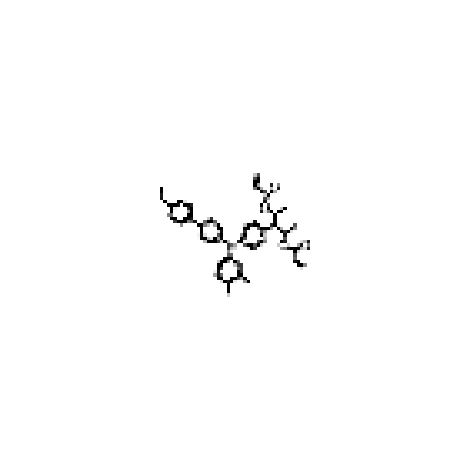 C=CC(=O)OC(C)C(c1ccc(N(c2ccc(-c3ccc(CC)cc3)cc2)c2ccc(C)c(C)c2)cc1)C(C)OC(=O)C=C